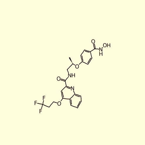 C[C@H](CNC(=O)c1cc(OCCC(F)(F)F)c2ccccc2n1)Oc1ccc(C(=O)NO)cc1